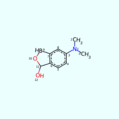 CN(C)c1ccc2c(c1)BOC2O